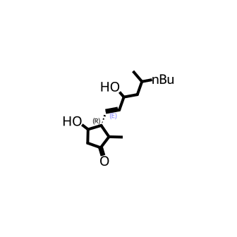 CCCCC(C)CC(O)/C=C/[C@H]1C(O)CC(=O)C1C